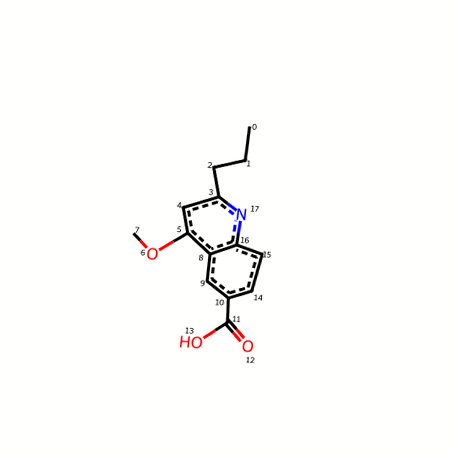 CCCc1cc(OC)c2cc(C(=O)O)ccc2n1